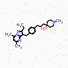 CCc1nn2c(C)cc(C)nc2c1Cc1ccc(CCCC2(O)CCN(C)CC2)cc1